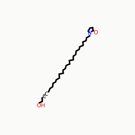 O=C1CCCN1CCCCCCCCCCCCCCCCCCCCCCCCCCCCCCO